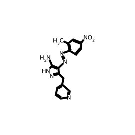 Cc1cc([N+](=O)[O-])ccc1N=Nc1c(Cc2cccnc2)n[nH]c1N